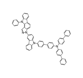 c1ccc(-c2ccc(N(c3ccc(-c4ccccc4)cc3)c3ccc(-c4ccc(-n5c6ccccc6c6cc(-n7ncc8c7ccc7c9ccccc9n(-c9ccccc9)c78)ccc65)cc4)cc3)cc2)cc1